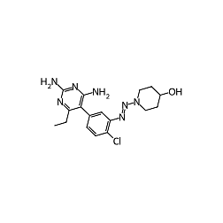 CCc1nc(N)nc(N)c1-c1ccc(Cl)c(N=NN2CCC(O)CC2)c1